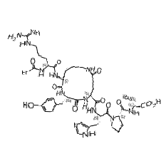 CCC(=O)N[C@@H](CCCNC(=N)N)C(=O)N[C@H]1CCCNC(=O)CC[C@@H](C(=O)N[C@@H](Cc2cnc[nH]2)C(=O)N2CCC[C@H]2C(=O)N[C@H](C(=O)O)[C@@H](C)CC)NC(=O)[C@H](Cc2ccc(O)cc2)NC1=O